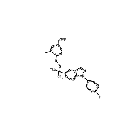 COc1ccc(NCC(O)(c2ccc3c(cnn3-c3ccc(F)cc3)c2)C(F)(F)F)c(C)c1